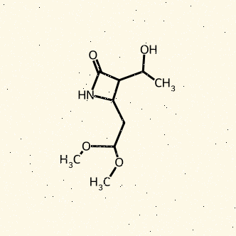 COC(CC1NC(=O)C1C(C)O)OC